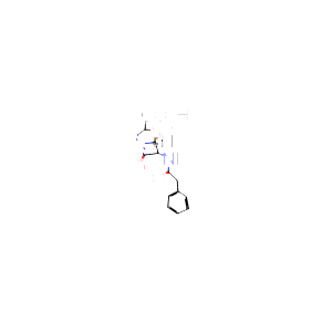 O=C(Cc1ccccc1)NC1C(=O)N2CC(C(=O)O)S[C@@H]12